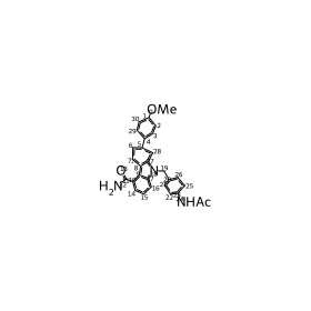 COc1ccc(-c2c[c]c3c4c(C(N)=O)cccc4n(Cc4ccc(NC(C)=O)cc4)c3c2)cc1